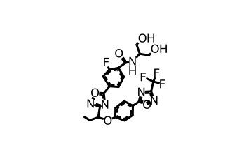 CCC(Oc1ccc(-c2nc(C(F)(F)F)no2)cc1)c1noc(-c2ccc(C(=O)NC(CO)CO)c(F)c2)n1